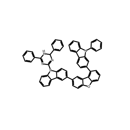 c1ccc(C2=NC(n3c4ccccc4c4cc(-c5ccc6oc7cccc(-c8ccc9c%10ccccc%10n(-c%10ccccc%10)c9c8)c7c6c5)ccc43)=NC(c3ccccc3)N2)cc1